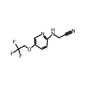 N#CCNc1ccc(OCC(F)(F)F)cn1